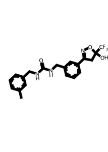 Cc1cccc(CNC(=O)NCc2cccc(C3=NOC(O)(C(F)(F)F)C3)c2)c1